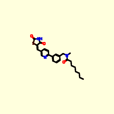 CCCCCCCC(=O)N(C)Cc1cccc(-c2ccc(C=C3SC(=O)NC3=O)cn2)c1